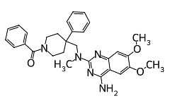 COc1cc2nc(N(C)CC3(c4ccccc4)CCN(C(=O)c4ccccc4)CC3)nc(N)c2cc1OC